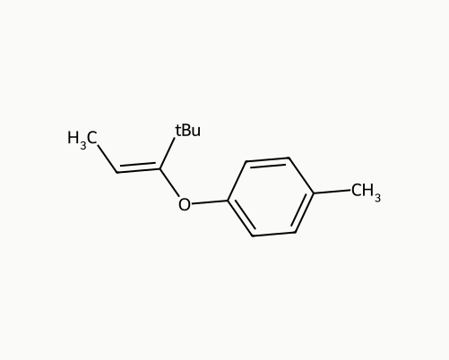 C/C=C(/Oc1ccc(C)cc1)C(C)(C)C